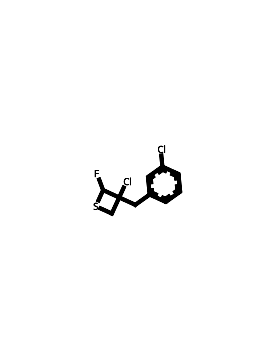 FC1SCC1(Cl)[CH]c1cccc(Cl)c1